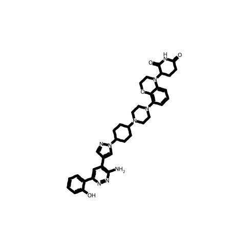 Nc1nnc(-c2ccccc2O)cc1-c1cnn(C2CCC(N3CCN(c4cccc5c4OCCN5C4CCC(=O)NC4=O)CC3)CC2)c1